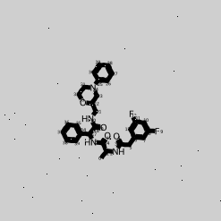 CC(NC(=O)Cc1cc(F)cc(F)c1)C(=O)NC(C(=O)NCC1CN(c2ccccc2)CCO1)c1ccccc1